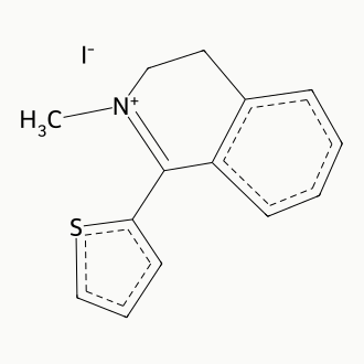 C[N+]1=C(c2cccs2)c2ccccc2CC1.[I-]